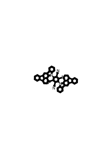 N#Cc1c(C#N)c(-n2c3ccccc3c3cc4c5c(cccc5c32)-c2ccccc2-4)c(C#N)c(C#N)c1-n1c2ccccc2c2cc3c4c(cccc4c21)-c1ccccc1-3